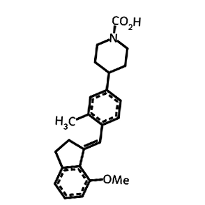 COc1cccc2c1/C(=C/c1ccc(C3CCN(C(=O)O)CC3)cc1C)CC2